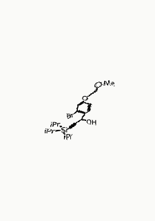 COCOc1ccc(C(O)C#C[Si](C(C)C)(C(C)C)C(C)C)c(Br)c1